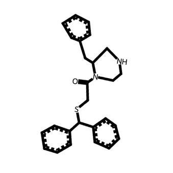 O=C(CSC(c1ccccc1)c1ccccc1)N1CCNCC1Cc1ccccc1